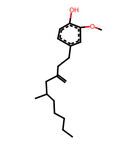 C=C(CCc1ccc(O)c(OC)c1)CC(C)CCCCC